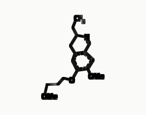 COCCCOc1cc2c(cc1OC)C=NC(CC(F)(F)F)C2